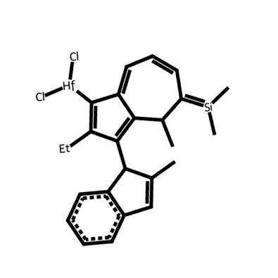 CCC1=[C]([Hf]([Cl])[Cl])C2=CC=CC(=[Si](C)C)C(C)C2=C1C1C(C)=Cc2ccccc21